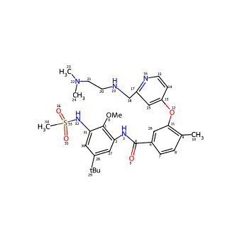 COc1c(NC(=O)c2ccc(C)c(Oc3ccnc(CNCCN(C)C)c3)c2)cc(C(C)(C)C)cc1NS(C)(=O)=O